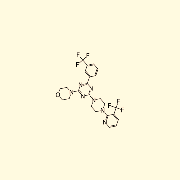 FC(F)(F)c1cccc(-c2nc(N3CCOCC3)nc(N3CCN(c4ncccc4C(F)(F)F)CC3)n2)c1